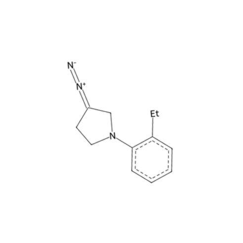 CCc1ccccc1N1CCC(=[N+]=[N-])C1